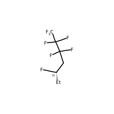 [CH2]C[C@H](F)CC(F)(F)C(F)(F)C(F)(F)F